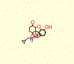 CCC[C@]12c3c4ccc(O)c3OC1C(=O)CCC2(O)C(N(C)CC1CC1)C4